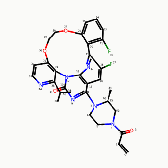 C=CC(=O)N1CCN(c2nc(=O)n3c4nc(c(F)cc24)-c2c(F)cccc2OCCOc2ccnc(C(C)C)c2-3)[C@@H](C)C1